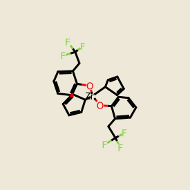 FC(F)(F)Cc1ccccc1[O][Zr]([O]c1ccccc1CC(F)(F)F)([CH]1C=CC=C1)[CH]1C=CC=C1